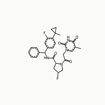 Cc1cn(CC(=O)N2CC(F)CC2C(=O)NC(c2ccccc2)c2ccc(C3(C)CC3)c(F)c2)c(=O)[nH]c1=O